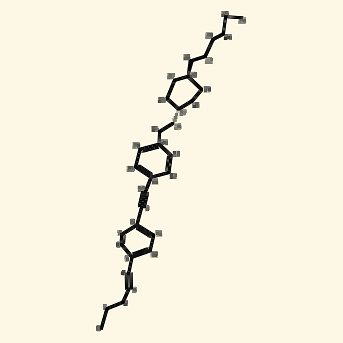 CCCC#Cc1ccc(C#Cc2ccc(CC[C@H]3CC[C@H](CCCCCC)CC3)cc2)cc1